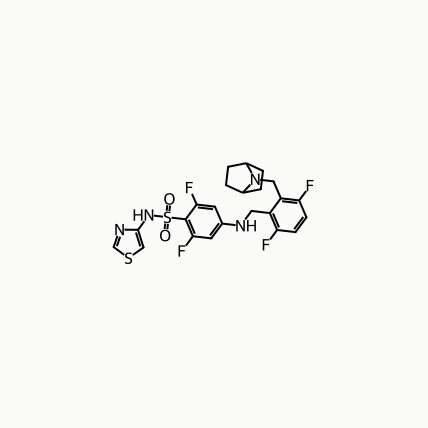 O=S(=O)(Nc1cscn1)c1c(F)cc(NCc2c(F)ccc(F)c2CN2C3CCC2CC3)cc1F